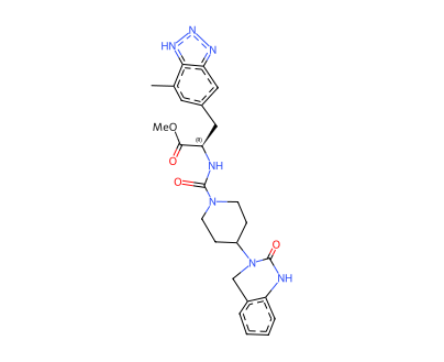 COC(=O)[C@@H](Cc1cc(C)c2[nH]nnc2c1)NC(=O)N1CCC(N2Cc3ccccc3NC2=O)CC1